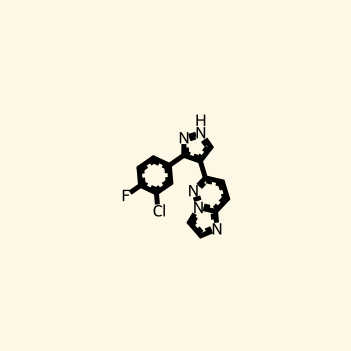 Fc1ccc(-c2n[nH]cc2-c2ccc3nccn3n2)cc1Cl